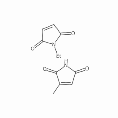 CC1=CC(=O)NC1=O.CCN1C(=O)C=CC1=O